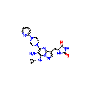 Nc1c(N2CCN(c3ccccn3)CC2)nc2c(/C=C3\NC(=O)NC3=O)cnn2c1NC1CC1